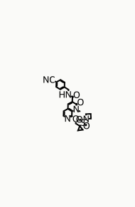 Cn1c(=O)c(C(=O)NCc2ccc(C#N)cc2)cc2ccnc(OCC3(S(=O)(=O)N4CCC4)CC3)c21